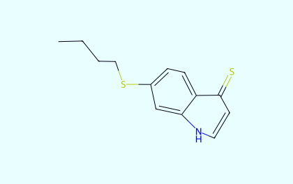 CCCCSc1ccc2c(=S)cc[nH]c2c1